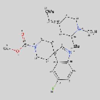 CC(C)(C)OC(=O)N1CCC2(C=Nc3ccc(F)cc32)CC1.COC=C1CCN(C(=O)O)C(C(C)(C)C)C1